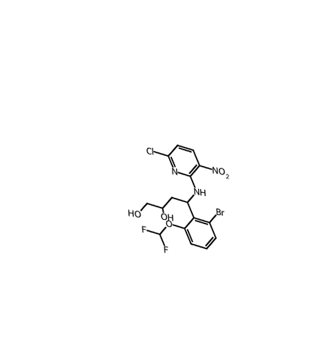 O=[N+]([O-])c1ccc(Cl)nc1NC(CC(O)CO)c1c(Br)cccc1OC(F)F